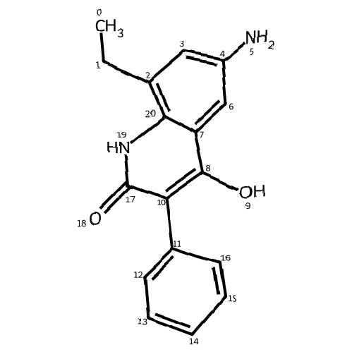 CCc1cc(N)cc2c(O)c(-c3ccccc3)c(=O)[nH]c12